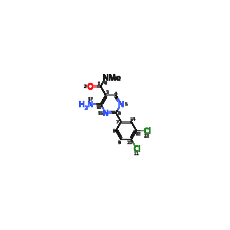 CNC(=O)c1cnc(-c2ccc(Cl)c(Cl)c2)nc1N